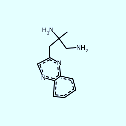 CC(N)(CN)Cc1cnc2ccccc2n1